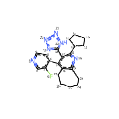 Fc1cnccc1-c1c2c(nc(C3CCCC3)c1-c1nnn[nH]1)CCCCC2